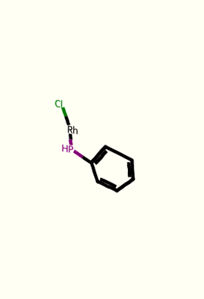 [Cl][Rh][PH]c1ccccc1